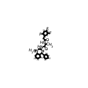 C[C@H](NC(=O)Cc1cc(F)c(F)cc1F)C(=O)N[C@@H]1CN(C)c2ccccc2C(c2ccccc2)=N1